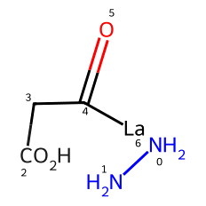 NN.O=C(O)C[C](=O)[La]